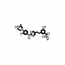 CONC(=O)c1cc(CCc2cnc(Nc3ccc(N4C=C(C)N[C@@H](C)C4)c(F)c3)nc2)cc(OC)c1